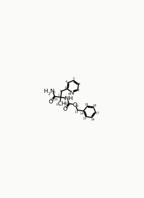 CC(Cc1ccccn1)(NC(=O)OCc1ccccc1)C(N)=O